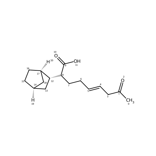 CC(=O)C/C=C/CCC(C(=O)O)[C@@H]1C[C@H]2CC[C@@H]1C2